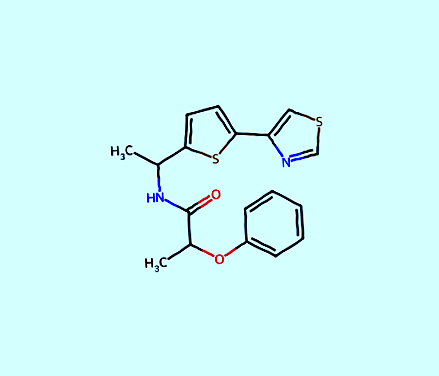 CC(Oc1ccccc1)C(=O)NC(C)c1ccc(-c2cscn2)s1